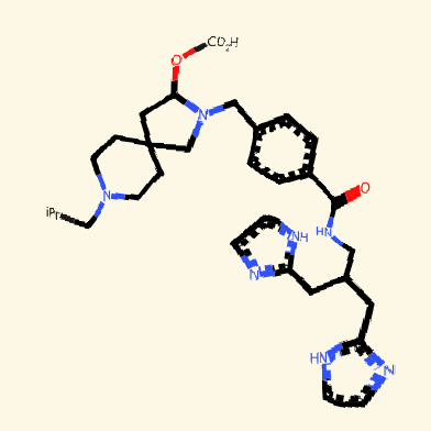 CC(C)CN1CCC2(CC1)CC(OC(=O)O)N(Cc1ccc(C(=O)NCC(Cc3ncc[nH]3)Cc3ncc[nH]3)cc1)C2